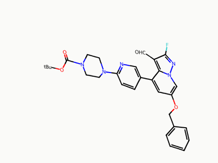 CC(C)(C)OC(=O)N1CCN(c2ccc(-c3cc(OCc4ccccc4)cn4nc(F)c(C=O)c34)cn2)CC1